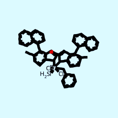 CC1=Cc2c(ccc(C)c2-c2cccc3ccccc23)[CH]1[Zr](=[SiH2])([Cl])([Cl])([CH2]c1ccccc1)[CH]1C(C)=Cc2c1ccc(C)c2-c1cccc2ccccc12